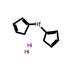 C1=CC[C]([Hf][C]2=CC=CC2)=C1.I.I